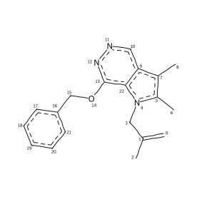 C=C(C)Cn1c(C)c(C)c2cnnc(OCc3ccccc3)c21